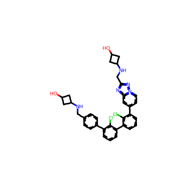 OC1CC(NCc2ccc(-c3cccc(-c4cccc(-c5ccn6nc(CNC7CC(O)C7)nc6c5)c4Cl)c3Cl)cc2)C1